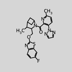 Cc1ccc(-n2nccn2)c(C(=O)N2C3CC(C3)C(C)C2COc2nc3ccc(F)cc3s2)n1